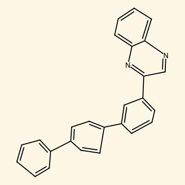 c1ccc(-c2ccc(-c3cccc(-c4cnc5ccccc5n4)c3)cc2)cc1